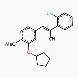 COc1ccc(/C=C(\C#N)c2ccccc2Cl)cc1OC1CCCC1